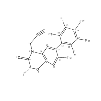 C#CCN1C(=O)[C@@H](C)Oc2cc(F)c(-c3c(F)c(F)c(F)c(F)c3F)cc21